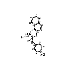 Cl.NC1(Cc2ccc3ccccc3c2)CC1c1ccc(Cl)cc1